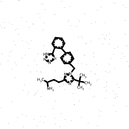 CC(N)CCc1nc(C(C)(C)C)n(Cc2ccc(-c3ccccc3-c3nnn[nH]3)cc2)n1